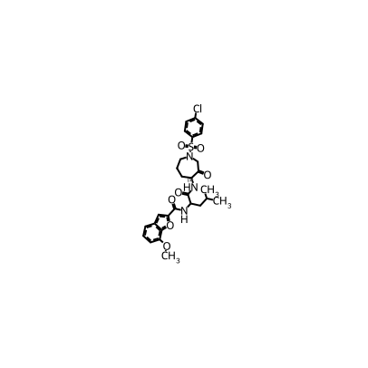 COc1cccc2cc(C(=O)NC(CC(C)C)C(=O)N[C@H]3CCCN(S(=O)(=O)c4ccc(Cl)cc4)CC3=O)oc12